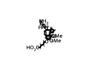 COc1c(OCCCCC(=O)O)cc2c(c1OC)C1=C(CCC1)C(=NNC=NN)CC2.Cl